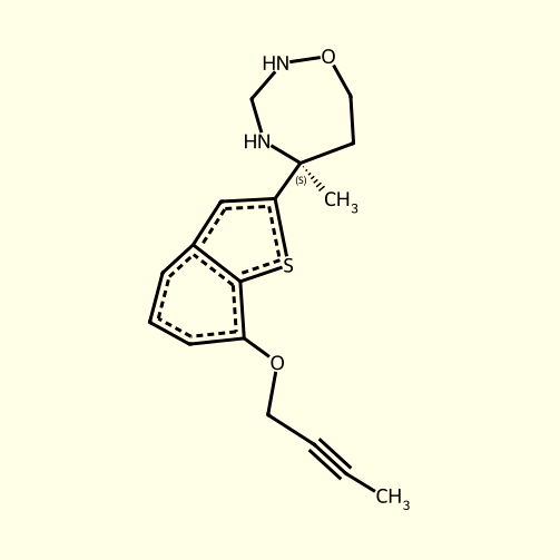 CC#CCOc1cccc2cc([C@]3(C)CCONCN3)sc12